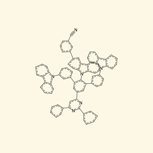 N#Cc1cccc(-c2ccc3c(c2)c2ccccc2n3-c2c(-c3cccc(-n4c5ccccc5c5ccccc54)c3)cc(-c3cc(-c4ccccc4)nc(-c4ccccc4)n3)cc2-c2cccc(-n3c4ccccc4c4ccccc43)c2)c1